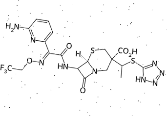 CC(Sc1nnn[nH]1)C1(C(=O)O)CS[C@@H]2C(NC(=O)C(=NOCC(F)(F)F)c3cccc(N)n3)C(=O)N2C1